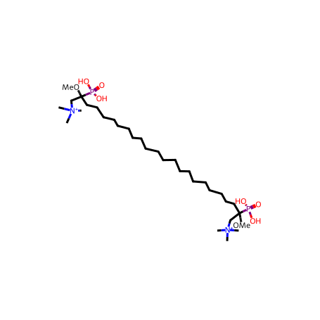 COC(CCCCCCCCCCCCCCCCCCCCC(C[N+](C)(C)C)(OC)P(=O)(O)O)(C[N+](C)(C)C)P(=O)(O)O